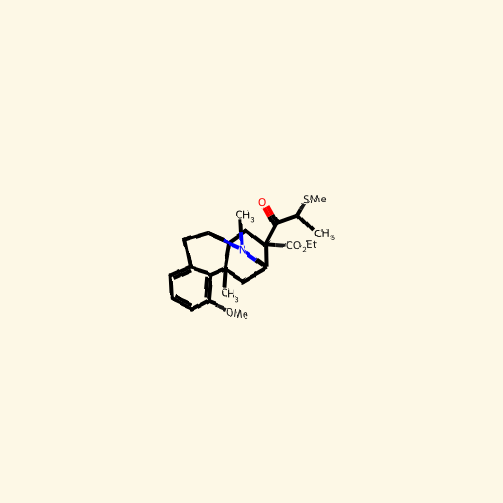 CCOC(=O)C1(C(=O)C(C)SC)CC2C3Cc4cccc(OC)c4C2(C)CC1N3C